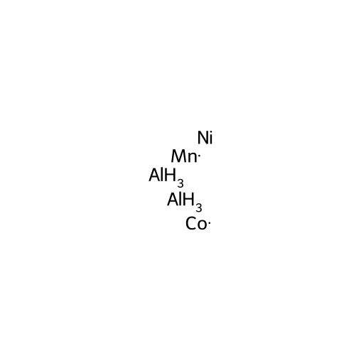 [AlH3].[AlH3].[Co].[Mn].[Ni]